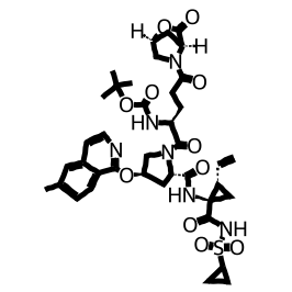 C=C[C@@H]1C[C@]1(NC(=O)[C@@H]1C[C@@H](Oc2nccc3cc(C)ccc23)CN1C(=O)[C@H](CCC(=O)N1C[C@@H]2C[C@H]1C(=O)O2)NC(=O)OC(C)(C)C)C(=O)NS(=O)(=O)C1CC1